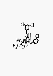 CC(C)[C@H](NC(=O)[C@H](Cc1cccc(Cl)c1)NC(=O)CCc1cc(Cl)cc(Cl)c1)C(=O)C(F)(F)F